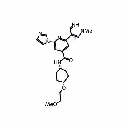 CN/C=C(\C=N)c1cc(C(=O)N[C@H]2CC[C@H](OCCOC)CC2)cc(-n2ccnc2)n1